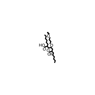 C=COCCCCOC(CC(CCCCCC)C(=O)O)CC(CCCCCC)C(=O)O